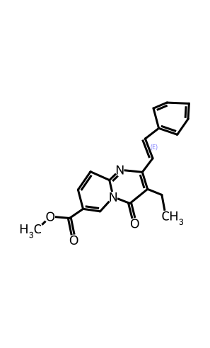 CCc1c(/C=C/c2ccccc2)nc2ccc(C(=O)OC)cn2c1=O